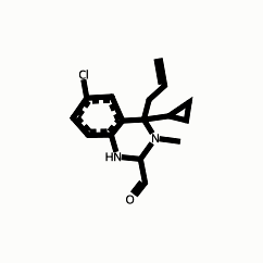 C=CCC1(C2CC2)c2cc(Cl)ccc2NC(C=O)N1C